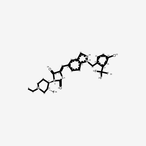 CCN1CC[C@@H](N2C(=O)S/C(=C\c3ccc4c(cnn4Cc4ccc(Cl)cc4C(F)(F)F)c3)C2=O)[C@H](F)C1